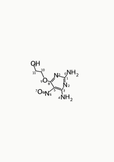 Nc1nc(N)c(N=O)c(OCCO)n1